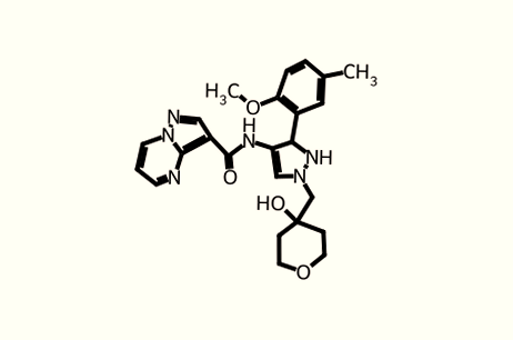 COc1ccc(C)cc1C1NN(CC2(O)CCOCC2)C=C1NC(=O)c1cnn2cccnc12